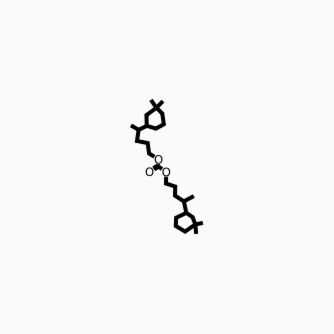 CC(CCCOC(=O)OCCCC(C)C1CCCC(C)(C)C1)C1CCCC(C)(C)C1